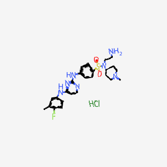 Cc1cc(Nc2ccnc(Nc3ccc(S(=O)(=O)N(CCN)C4CCN(C)CC4)cc3)n2)ccc1F.Cl